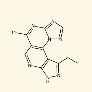 CCc1n[nH]c2ncc3c(Cl)nc4ncnn4c3c12